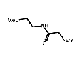 COCCNC(=O)CSC